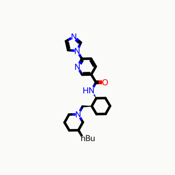 CCCCC1CCCN(C[C@@H]2CCCC[C@H]2NC(=O)c2ccc(-n3ccnc3)nc2)C1